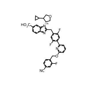 N#Cc1ccc(COc2cccc(-c3cc(F)c(Cc4nc5ccc(C(=O)O)cc5n4[C@H]4COCC4C4CC4)cc3F)n2)c(F)c1